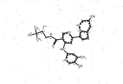 Cc1cc(Nc2cc(-c3ccc4cc(C#N)cnn34)ncc2C(=O)NC[C@@H](F)C(C)(C)O)ncc1C#N